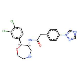 O=C(Cc1ccc(-n2cncn2)cc1)N[C@@H]1CNCCO[C@H]1c1ccc(Cl)c(Cl)c1